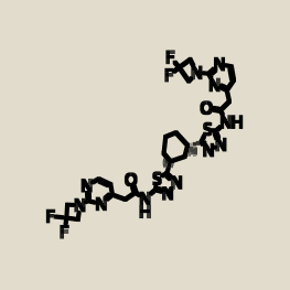 O=C(Cc1ccnc(N2CC(F)(F)C2)n1)Nc1nnc([C@H]2CCC[C@H](c3nnc(NC(=O)Cc4ccnc(N5CC(F)(F)C5)n4)s3)C2)s1